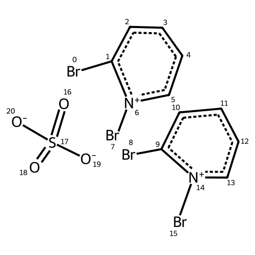 Brc1cccc[n+]1Br.Brc1cccc[n+]1Br.O=S(=O)([O-])[O-]